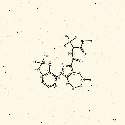 CNC(=O)C(NC(=O)c1nc(-c2cccc3c2OC(F)(F)O3)n2c1CN(C)CCC2)C(C)(C)C